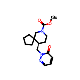 CC(C)(C)OC(=O)N1CC[C@@H](Cn2ncccc2=O)C2(CCCC2)C1